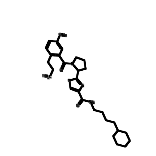 COc1ccc(CCC(=O)O)c(C(=O)N2CCCC2c2nc(C(=O)NCCCCC3CCCCC3)co2)c1